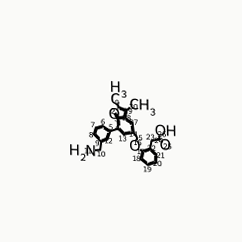 Cc1oc2c(-c3cccc(CN)c3)cc(COc3ccccc3CC(=O)O)cc2c1C